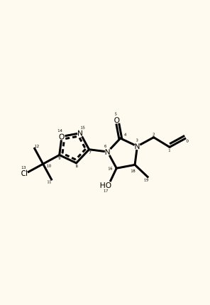 C=CCN1C(=O)N(c2cc(C(C)(C)Cl)on2)C(O)C1C